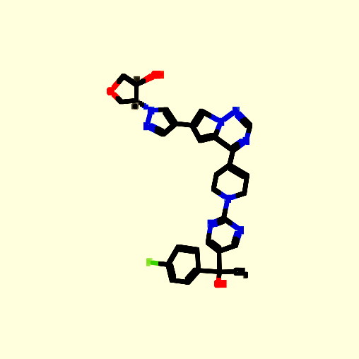 CC(O)(c1ccc(F)cc1)c1cnc(N2CC=C(c3ncnn4cc(-c5cnn([C@@H]6COC[C@H]6O)c5)cc34)CC2)nc1